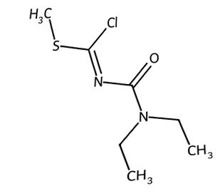 CCN(CC)C(=O)/N=C(\Cl)SC